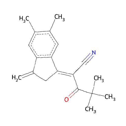 C=C1C/C(=C(/C#N)C(=O)C(C)(C)C)c2cc(C)c(C)cc21